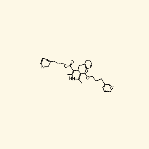 CC1=C(C(=O)OCCCc2cccnc2)C(Cc2ccccc2)C(C(=O)OCCCc2cccnc2)=C(C)N1